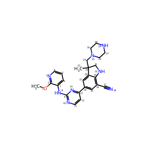 COc1ncccc1Nc1nccc(-c2cc(C#N)c3c(c2)C(C)(CN2CCNCC2)CN3)n1